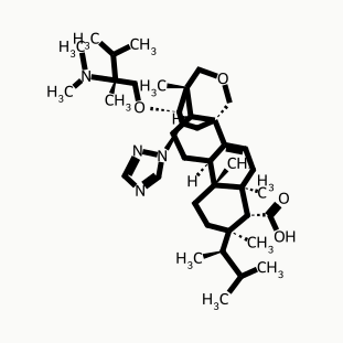 CC(C)[C@@H](C)[C@@]1(C)CC[C@]2(C)[C@H]3CC[C@@H]4[C@@]5(COC[C@@]4(C)[C@@H](OC[C@@](C)(C(C)C)N(C)C)[C@H](n4cncn4)C5)C3=CC[C@@]2(C)[C@@H]1C(=O)O